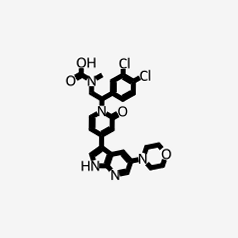 CN(CC(c1ccc(Cl)c(Cl)c1)n1ccc(-c2c[nH]c3ncc(N4CCOCC4)cc23)cc1=O)C(=O)O